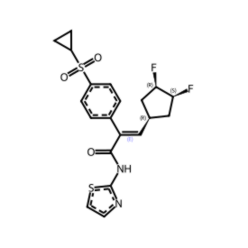 O=C(Nc1nccs1)/C(=C/[C@H]1C[C@@H](F)[C@@H](F)C1)c1ccc(S(=O)(=O)C2CC2)cc1